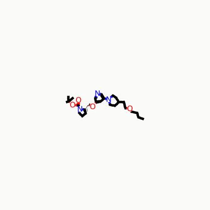 CCCCOCCC1CCN(c2cncc(OC[C@@H]3CCCN3C(=O)OC(C)(C)C)c2)CC1